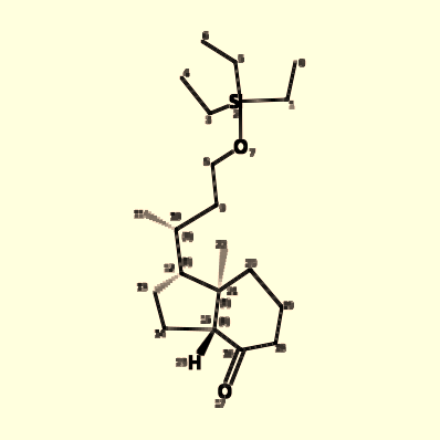 CC[Si](CC)(CC)OCC[C@@H](C)[C@H]1CC[C@H]2C(=O)CCC[C@]12C